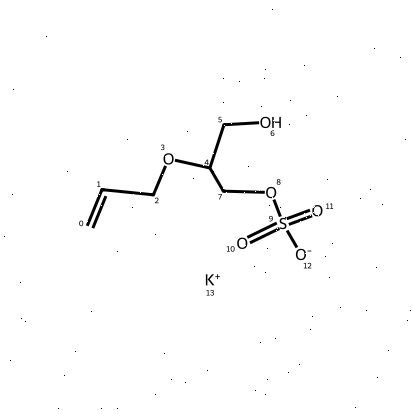 C=CCOC(CO)COS(=O)(=O)[O-].[K+]